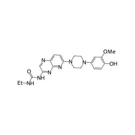 CCNC(=O)Nc1cnc2ccc(N3CCN(c4ccc(O)c(OC)c4)CC3)nc2n1